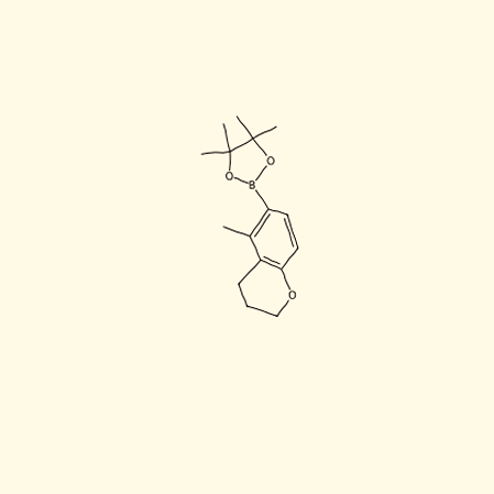 Cc1c(B2OC(C)(C)C(C)(C)O2)ccc2c1CCCO2